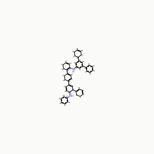 C1=CCCC(C2C=C(C3=CC=C(C4=C(Nc5cc(-c6ccccc6)cc(C6CC=CCC6)c5)C=CCC4)CC3)C=CC2Nc2ccccc2)=C1